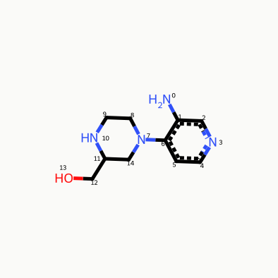 Nc1cnccc1N1CCNC(CO)C1